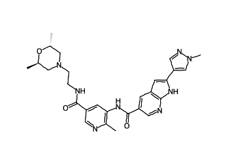 Cc1ncc(C(=O)NCCN2C[C@@H](C)O[C@H](C)C2)cc1NC(=O)c1cnc2[nH]c(-c3cnn(C)c3)cc2c1